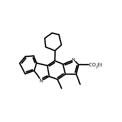 CCOC(=O)C1=C(C)c2c(C)c3c(c(C4CCCCC4)c2=N1)-c1ccccc1N=3